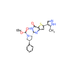 Cc1[nH]ncc1-c1cc2nc([C@@H]3C[C@@H](c4ccccc4)CN3C(=O)OC(C)(C)C)[nH]c(=O)c2s1